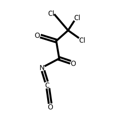 O=C=NC(=O)C(=O)C(Cl)(Cl)Cl